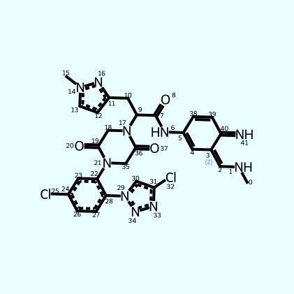 CN/C=C1/C=C(NC(=O)C(Cc2ccn(C)n2)N2CC(=O)N(c3cc(Cl)ccc3-n3cc(Cl)nn3)CC2=O)C=CC1=N